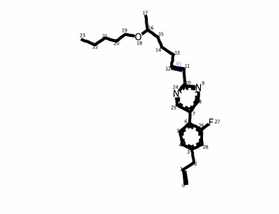 C=CCc1ccc(-c2cnc(/C=C/CCCC(C)OCCCCC)nc2)c(F)c1